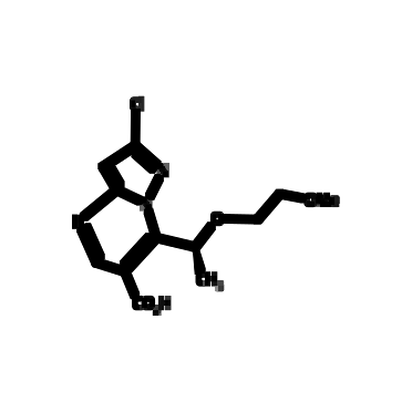 COCCO[C@@H](C)c1c(C(=O)O)cnc2cc(Cl)nn12